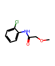 COCC(=O)Nc1ccccc1Cl